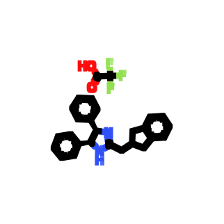 O=C(O)C(F)(F)F.c1ccc([C@H]2N=C(CC3Cc4ccccc4C3)N[C@H]2c2ccccc2)cc1